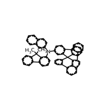 CC1(C)c2ccccc2-c2cccc(N(c3ccc4c(c3)C3(c5ccccc5-4)c4ccccc4-c4cccc5ccc(-c6ccccc6)c3c45)c3ccc4ccccc4c3)c21